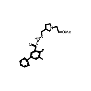 COCCN1CCC(CSNNC(=O)c2cc(-c3ccccc3)cc(C)c2F)C1